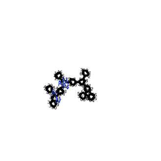 c1ccc(-c2cc(-c3ccc(-c4nc(-c5ccccc5)nc(-c5ccc6c7nc8ccccc8cc7n(-c7ccccc7)c6c5)n4)cc3)cc(-c3ccc4c(c3)C3(CCCCC3)c3ccccc3-4)c2)cc1